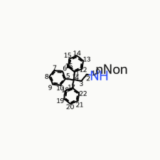 CCCCCCCCCNCCC(c1ccccc1)(c1ccccc1)c1ccccc1